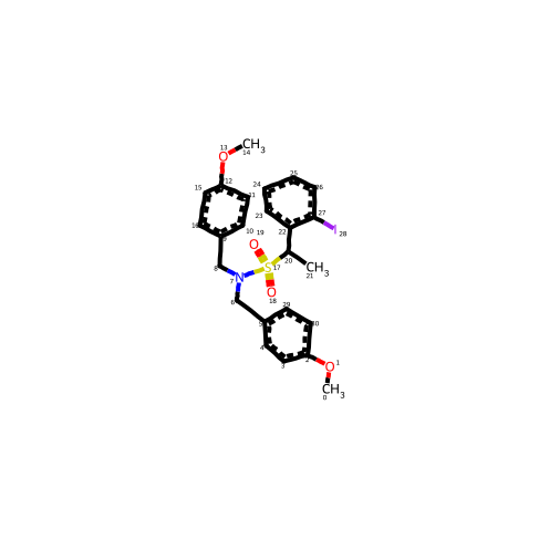 COc1ccc(CN(Cc2ccc(OC)cc2)S(=O)(=O)C(C)c2ccccc2I)cc1